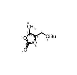 Cc1oc(=O)oc1COCC(C)C